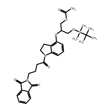 CC(=O)OCC(CO[Si](C)(C)C(C)(C)C)Oc1cccc2c1CCN2C(=O)CCCN1C(=O)c2ccccc2C1=O